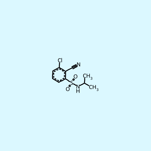 CC(C)NS(=O)(=O)c1cccc(Cl)c1C#N